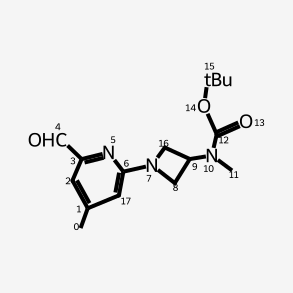 Cc1cc(C=O)nc(N2CC(N(C)C(=O)OC(C)(C)C)C2)c1